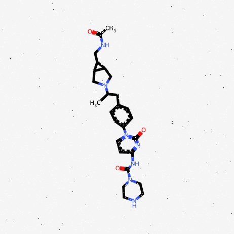 CC(=O)NCC1C2CN(C(C)Cc3ccc(-n4ccc(NC(=O)N5CCNCC5)nc4=O)cc3)CC12